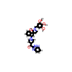 COc1cc(CN2CCC(CCN3CCC(C(=O)c4nc5ccccc5[nH]4)CC3)(c3ccccc3)C2=O)cc(OC)c1OC